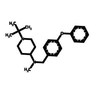 CN(Cc1ccc(Oc2ccccc2)cc1)C1CCN(C(C)(C)C)CC1